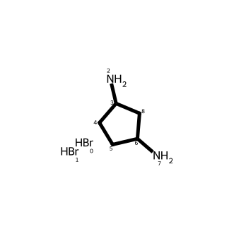 Br.Br.NC1CCC(N)C1